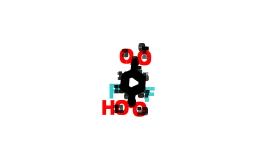 COC(=O)c1cc(F)c(C(=O)O)c(F)c1